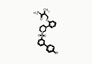 CC(COc1ccccc1C1CCCN(S(=O)(=O)c2cccc(-c3ccc(C(C)C)cc3)c2)C1)C(N)=O